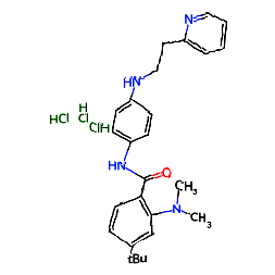 CN(C)c1cc(C(C)(C)C)ccc1C(=O)Nc1ccc(NCCc2ccccn2)cc1.Cl.Cl.Cl